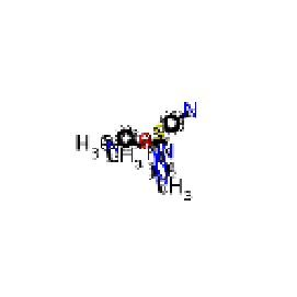 CN1CCN(c2ncc(Sc3ccc(C#N)cc3)c(OCc3cccc(N(C)C)c3)n2)CC1